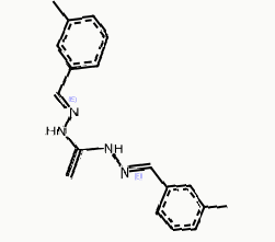 C=C(N/N=C/c1cccc(C)c1)N/N=C/c1cccc(C)c1